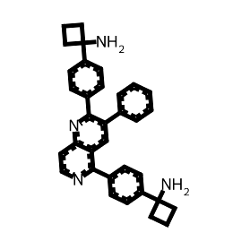 NC1(c2ccc(-c3nc4ccnc(-c5ccc(C6(N)CCC6)cc5)c4cc3-c3ccccc3)cc2)CCC1